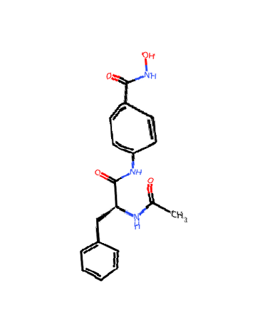 CC(=O)N[C@@H](Cc1ccccc1)C(=O)Nc1ccc(C(=O)NO)cc1